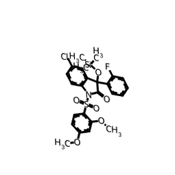 COc1ccc(S(=O)(=O)N2C(=O)C(O[Si](C)(C)C)(c3ccccc3F)c3cc(Cl)ccc32)c(OC)c1